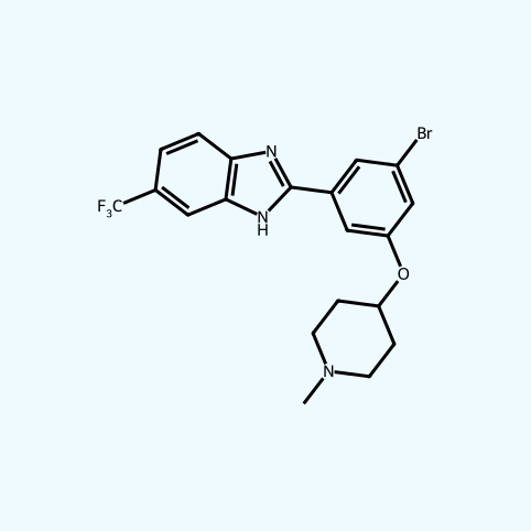 CN1CCC(Oc2cc(Br)cc(-c3nc4ccc(C(F)(F)F)cc4[nH]3)c2)CC1